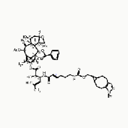 CC(=O)O[C@H]1C(=O)[C@@]2(C)[C@H]([C@H](OC(=O)c3ccccc3)[C@]3(O)C[C@H](OC(=O)[C@H](O)[C@H](C=C(C)C)NC(=O)/C=C/CCCNC(=O)OCC4C5CCc6nnn(C(C)C)c6CCC54)C(C)=C1C3(C)C)[C@]1(OC(C)=O)CO[C@@H]1C[C@@H]2O